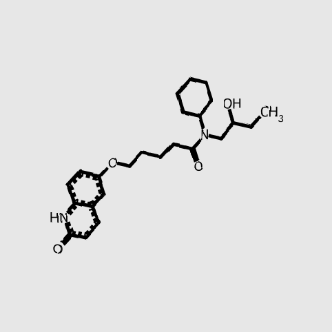 CCC(O)CN(C(=O)CCCCOc1ccc2[nH]c(=O)ccc2c1)C1CCCCC1